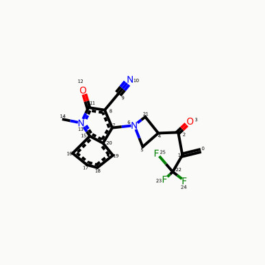 C=C(C(=O)C1CN(c2c(C#N)c(=O)n(C)c3ccccc23)C1)C(F)(F)F